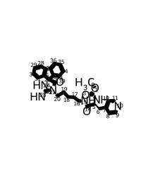 COC(=O)N[C@@H](Cc1ccncc1)C(=O)NCCCCCN1C(=N)NC(c2ccccc2)(c2ccccc2)C1=O